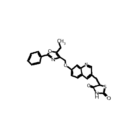 CCc1oc(-c2ccccc2)nc1COc1ccc2cc(CC3SC(=O)NC3=O)cnc2c1